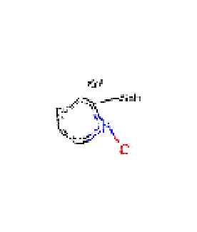 [O-][n+]1ccccc1[SeH].[Zn]